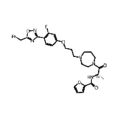 CC(C)Cc1nc(-c2ccc(OCCCN3CCCN(C(=O)[C@H](C)NC(=O)c4ccco4)CC3)cc2F)no1